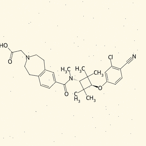 CN(C(=O)c1ccc2c(c1)CCN(CC(=O)O)CC2)[C@H]1C(C)(C)[C@H](Oc2ccc(C#N)c(Cl)c2)C1(C)C